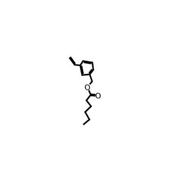 C=Cc1cccc(COC(=O)CCCCC)c1